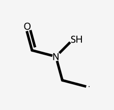 [CH2]CN(S)C=O